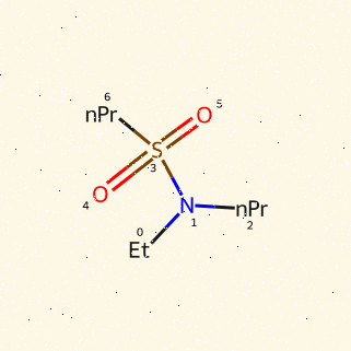 [CH2]CN(CCC)S(=O)(=O)CCC